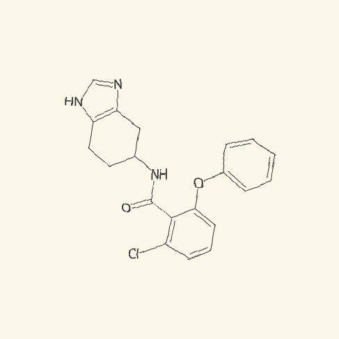 O=C(NC1CCc2[nH]cnc2C1)c1c(Cl)cccc1Oc1ccccc1